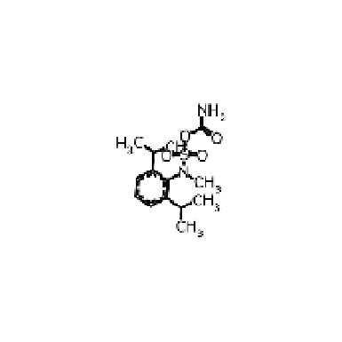 CC(C)c1cccc(C(C)C)c1N(C)S(=O)(=O)OC(N)=O